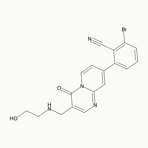 N#Cc1c(Br)cccc1-c1ccn2c(=O)c(CNCCO)cnc2c1